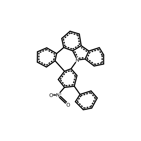 O=[N+]([O-])c1cc2c(cc1-c1ccccc1)-n1c3ccccc3c3cccc(c31)-c1ccccc1-2